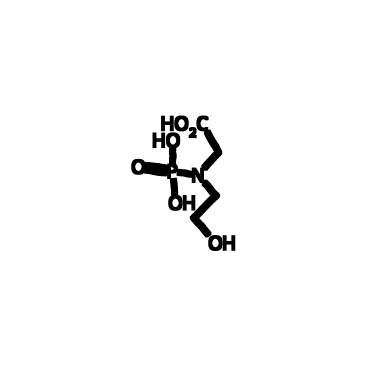 O=C(O)CN(CCO)P(=O)(O)O